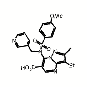 CCc1c(C)nn2c(N(Cc3cccnc3)S(=O)(=O)c3ccc(OC)cc3)c(C(=O)O)cnc12